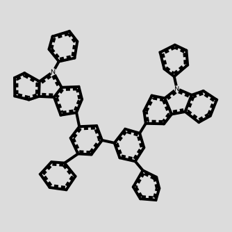 c1ccc(-c2cc(-c3cc(-c4ccccc4)cc(-c4ccc5c(c4)c4ccccc4n5-c4ccccc4)c3)cc(-c3ccc4c(c3)c3ccccc3n4-c3ccccc3)c2)cc1